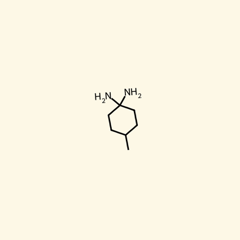 CC1CCC(N)(N)CC1